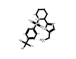 CCc1cnc(C2CCCCN2S(=O)(=O)c2ccc(C(F)(F)F)cc2)o1